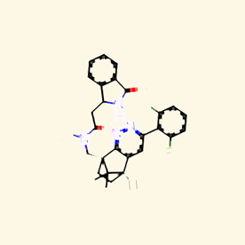 CCN(C[C@@]12CC[C@@H](c3cc(-c4c(F)cccc4F)nnc31)C2(C)C)C(=O)CC1NC(=O)c2ccccc21